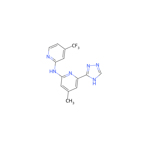 Cc1cc(Nc2cc(C(F)(F)F)ccn2)nc(-c2nnc[nH]2)c1